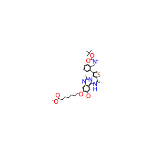 COC(=O)CCCCCCOc1cc2nc(C)nc(N[C@@H](C)c3cc(-c4ccccc4CN(C)C(=O)OC(C)(C)C)cs3)c2cc1OC